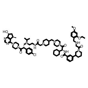 CCOc1cc(OC)ccc1CNCC(=O)N1CCCC(c2cccc(C(=O)N[C@@H](C(=O)N3CCN(CC4CCN(CC(=O)NCCN(C[C@@H](C(=O)N5CCN(c6ncnc7c6[C@H](C)C[C@H]7O)CC5)c5ccc(Cl)cc5)C(C)C)CC4)CC3)C3CCCCC3)c2)C1